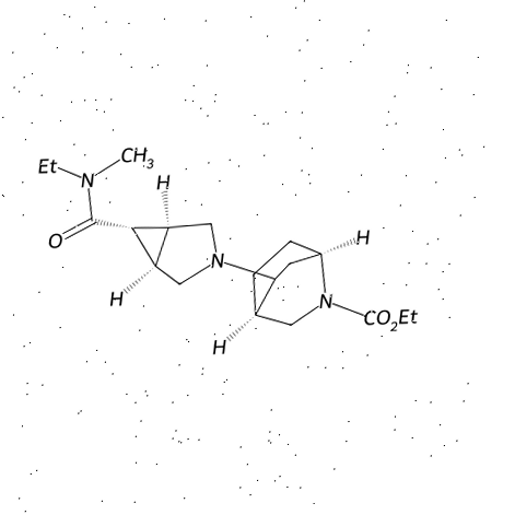 CCOC(=O)N1C[C@H]2CC[C@@H]1CC2N1C[C@@H]2[C@H](C1)[C@H]2C(=O)N(C)CC